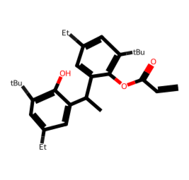 C=CC(=O)Oc1c(C(C)c2cc(CC)cc(C(C)(C)C)c2O)cc(CC)cc1C(C)(C)C